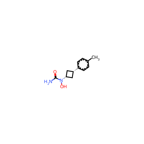 Cc1ccc([C@H]2C[C@@H](N(O)C(N)=O)C2)cc1